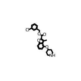 Cc1c(C(=O)OCc2cccc(Cl)c2)oc2cccc(OC3CCNCC3)c12